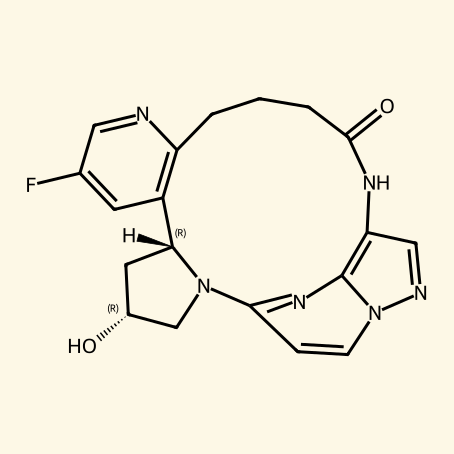 O=C1CCCc2ncc(F)cc2[C@H]2C[C@@H](O)CN2c2ccn3ncc(c3n2)N1